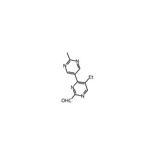 CCc1cnc(C=O)nc1-c1cnc(C)nc1